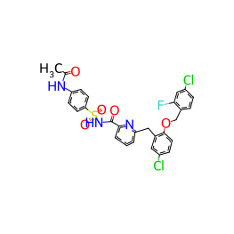 CC(=O)Nc1ccc(S(=O)(=O)NC(=O)c2cccc(Cc3cc(Cl)ccc3OCc3ccc(Cl)cc3F)n2)cc1